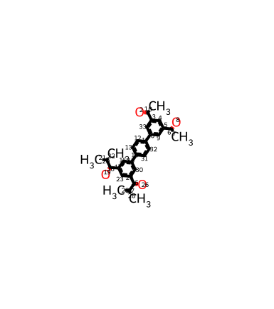 CC(=O)c1cc(C(C)=O)cc(-c2ccc(-c3cc(C(=O)C(C)C)cc(C(=O)C(C)C)c3)cc2)c1